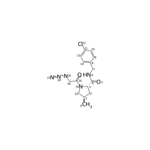 C[C@@H]1C[C@@H](C(=O)NCc2ccc(Cl)cc2)N(C(=O)CN=[N+]=[N-])C1